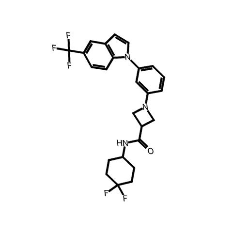 O=C(NC1CCC(F)(F)CC1)C1CN(c2cccc(-n3ccc4cc(C(F)(F)F)ccc43)c2)C1